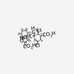 CCC1C(C(=O)O)=CC(Cl)=CC1(C)C(=O)O.O=C(O)c1cc2ccccc2o1